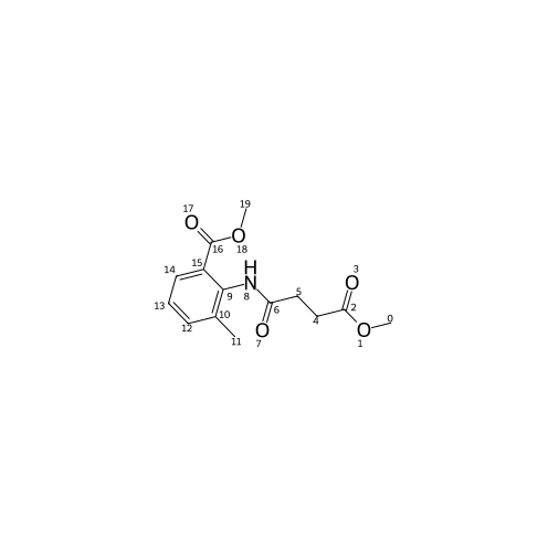 COC(=O)CCC(=O)Nc1c(C)cccc1C(=O)OC